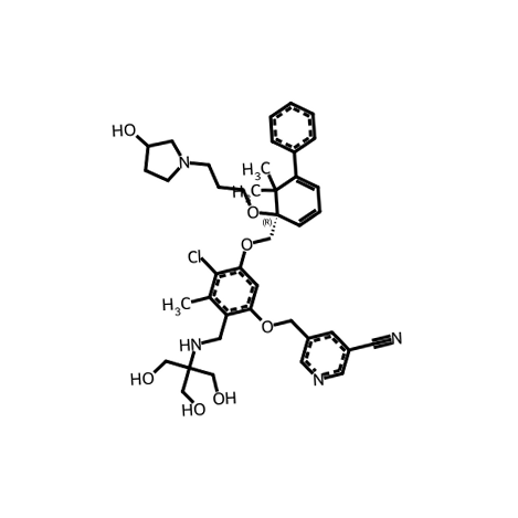 Cc1c(Cl)c(OC[C@@]2(OCCCN3CCC(O)C3)C=CC=C(c3ccccc3)C2(C)C)cc(OCc2cncc(C#N)c2)c1CNC(CO)(CO)CO